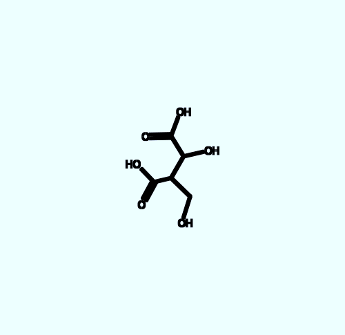 O=C(O)C(O)C(CO)C(=O)O